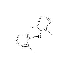 [CH2]c1ccccc1Oc1c(C)cccc1C